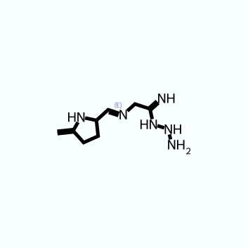 C=C1CCC(/C=N/CC(=N)NNN)N1